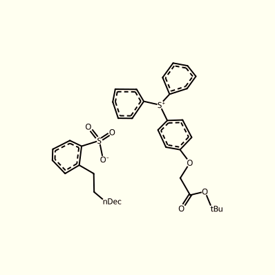 CC(C)(C)OC(=O)COc1ccc([S+](c2ccccc2)c2ccccc2)cc1.CCCCCCCCCCCCc1ccccc1S(=O)(=O)[O-]